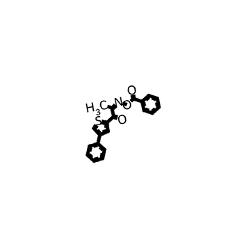 CC(=NOC(=O)c1ccccc1)C(=O)c1cc(-c2ccccc2)cs1